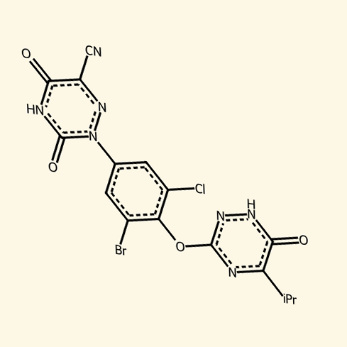 CC(C)c1nc(Oc2c(Cl)cc(-n3nc(C#N)c(=O)[nH]c3=O)cc2Br)n[nH]c1=O